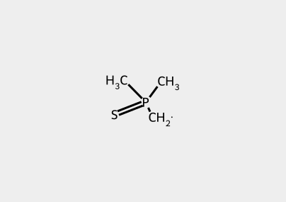 [CH2]P(C)(C)=S